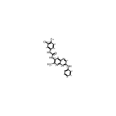 Cc1nc2nc(Nc3ccccc3)cnc2cc1NC(=O)Nc1ccc(F)c(Cl)c1